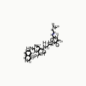 CCCNc1nc(Nc2ccc3cnccc3c2)ncc1C(=O)NCCCNC(=O)[C@H](C)N(C)C(=O)/C=C/CN(C)C